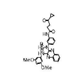 COc1cc(Nc2nc3ccccc3nc2N(c2cccc(NC(=O)CCC(=O)C3CC3)c2)[SH](=O)=O)cc(OC)c1